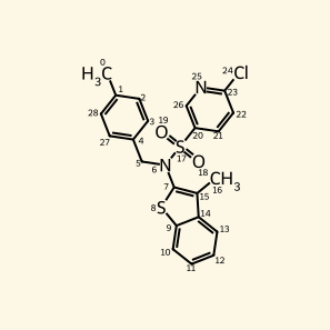 Cc1ccc(CN(c2sc3ccccc3c2C)S(=O)(=O)c2ccc(Cl)nc2)cc1